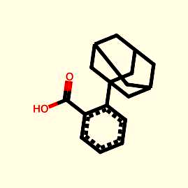 O=C(O)c1ccccc1C12CC3CC(CC(C3)C1)C2